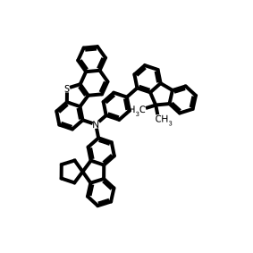 CC1(C)c2ccccc2-c2cccc(-c3ccc(N(c4ccc5c(c4)C4(CCCC4)c4ccccc4-5)c4cccc5sc6c7ccccc7ccc6c45)cc3)c21